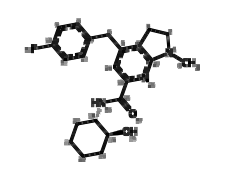 CN1CCc2c(Cc3ccc(F)cc3)cc(C(=O)N[C@H]3CCCC[C@@H]3O)nc21